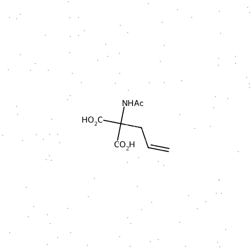 C=CCC(NC(C)=O)(C(=O)O)C(=O)O